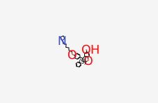 Oc1ccc2c(c1)C(c1ccc(OCCCCCCN3CCCC3)cc1)[C@@H](c1ccccc1)CO2